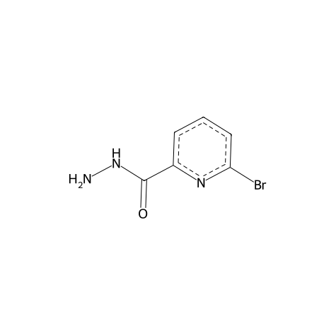 NNC(=O)c1cccc(Br)n1